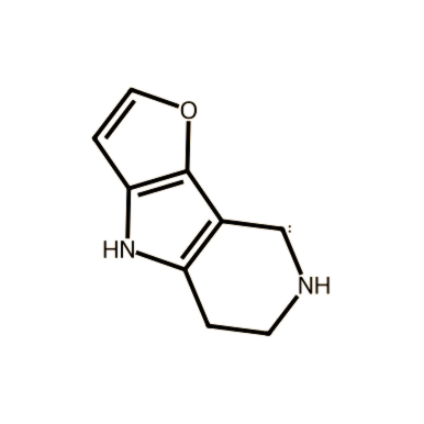 [C]1NCCc2[nH]c3ccoc3c21